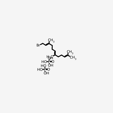 CC(C)=CCCC(C)=CCCC(C)=CCBr.O=P(O)(O)O.O=P(O)(O)O